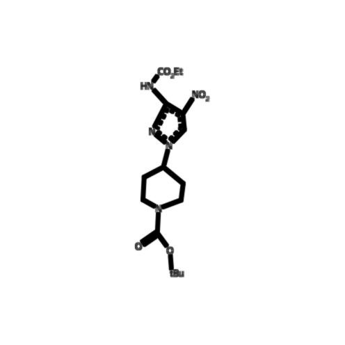 CCOC(=O)Nc1nn(C2CCN(C(=O)OC(C)(C)C)CC2)cc1[N+](=O)[O-]